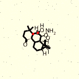 C=C1C(=O)[C@@]23C(CC[C@@H]1[C@H]2OI)[C@@]12CO[C@@]3(ON)[C@@H](O)C1C(C)(C)CCC2=O